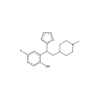 CN1CCC(CC(c2cccs2)c2cc(F)ccc2O)CC1